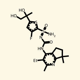 CCc1c(C)nc2c(c1NC(=O)N=S(N)(=O)c1sc(C(C)(O)CO)cc1F)CCC2(C)C